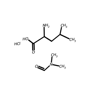 CC(C)CC(N)C(=O)O.CN(C)C=O.Cl